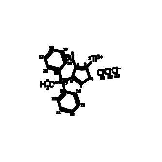 CC(C)(C)C1=[C]([Ti+3])CC=C1[Si](C)(c1ccccc1)c1ccccc1.[Cl-].[Cl-].[Cl-]